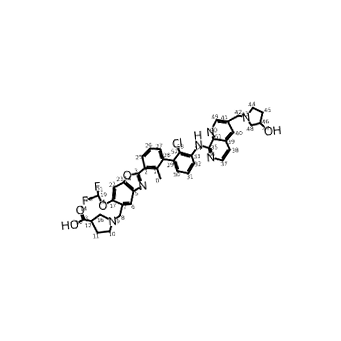 Cc1c(-c2nc3cc(CN4CCC(C(=O)O)C4)c(OC(F)F)cc3o2)cccc1-c1cccc(Nc2nccc3cc(CN4CCC(O)C4)cnc23)c1Cl